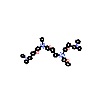 c1ccc(-c2nc(-c3ccc4c(c3)oc3cc(-c5ccc6c7ccccc7n(-c7ccccc7)c6c5)ccc34)nc(-c3ccc4c(c3)oc3ccc(-c5cccc(-c6nc(-c7ccc8c(c7)oc7ccccc78)nc(-c7ccc8c(c7)oc7c(-c9ccc%10c%11ccccc%11n(-c%11ccccc%11)c%10c9)cccc78)n6)c5)cc34)n2)cc1